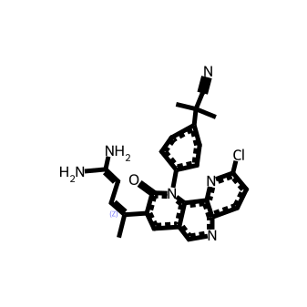 C/C(=C/C=C(N)N)c1cc2cnc3ccc(Cl)nc3c2n(-c2ccc(C(C)(C)C#N)cc2)c1=O